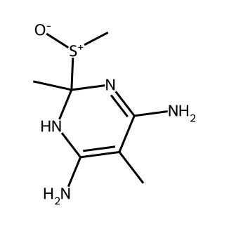 CC1=C(N)NC(C)([S+](C)[O-])N=C1N